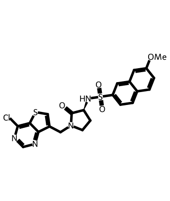 COc1ccc2ccc(S(=O)(=O)N[C@H]3CCN(Cc4csc5c(Cl)ncnc45)C3=O)cc2c1